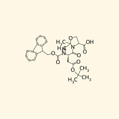 CC(C)(C)OC(=O)C[C@@H](NC(=O)OCC1c2ccccc2-c2ccccc21)C(=O)N1C(C(=O)O)COC1(C)C